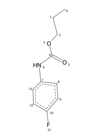 CCCOC(=O)Nc1ccc(F)cc1